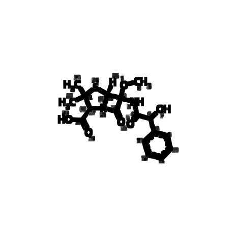 COC1(NC(=O)C(O)c2ccccc2)C(=O)N2[C@@H](C(=O)O)C(C)(C)S[C@@H]21